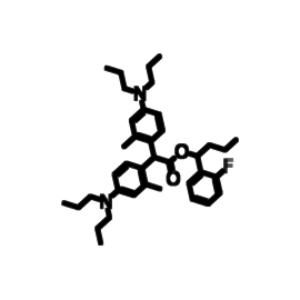 CCCC(OC(=O)C(c1ccc(N(CCC)CCC)cc1C)c1ccc(N(CCC)CCC)cc1C)c1ccccc1F